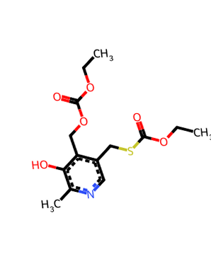 CCOC(=O)OCc1c(CSC(=O)OCC)cnc(C)c1O